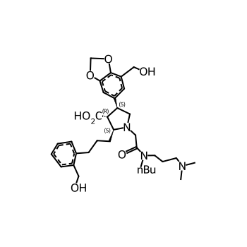 CCCCN(CCCN(C)C)C(=O)CN1C[C@H](c2cc(CO)c3c(c2)OCO3)[C@@H](C(=O)O)[C@@H]1CCCc1ccccc1CO